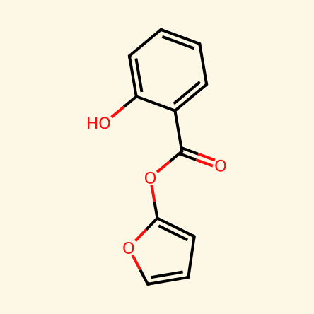 O=C(Oc1ccco1)c1ccccc1O